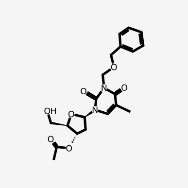 CC(=O)O[C@H]1C[C@H](n2cc(C)c(=O)n(COCc3ccccc3)c2=O)O[C@@H]1CO